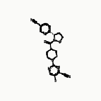 N#Cc1ccc([C@@H]2CCON2C(=O)C2CCN(c3ncc(F)c(C#N)n3)CC2)nc1